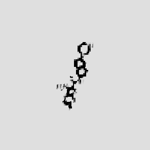 Cc1cnc2c(N)c(C(=O)N[C@H]3CCc4cc(N5CCCNCC5)ccc4C3)sc2n1